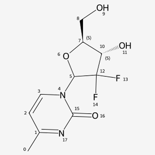 Cc1ccn(C2O[C@@H](CO)[C@H](O)C2(F)F)c(=O)n1